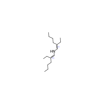 CCCC/C(=C\N/C=C(\CC)CCCC)CC